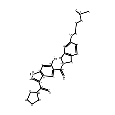 CN(C)CCCOc1ccc2c(c1)CN(C(=O)c1cc3c(C(=O)C4CCCC4)n[nH]c3cc1O)C2